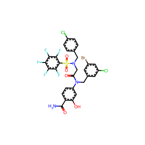 NC(=O)c1ccc(N(Cc2cc(Cl)cc(Br)c2)C(=O)CN(Cc2ccc(Cl)cc2)S(=O)(=O)c2c(F)c(F)c(F)c(F)c2F)cc1O